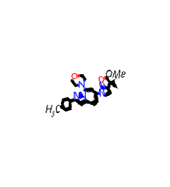 COC(=O)C1(c2ccn(C3=C=Cc4cc(-c5ccc(C)cc5)nn4C(N4CCOCC4)=C3)n2)CC1